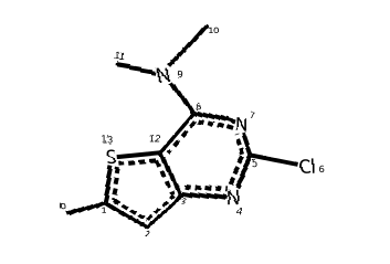 Cc1cc2nc(Cl)nc(N(C)C)c2s1